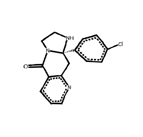 O=C1c2cccnc2C[C@]2(c3ccc(Cl)cc3)NCCN12